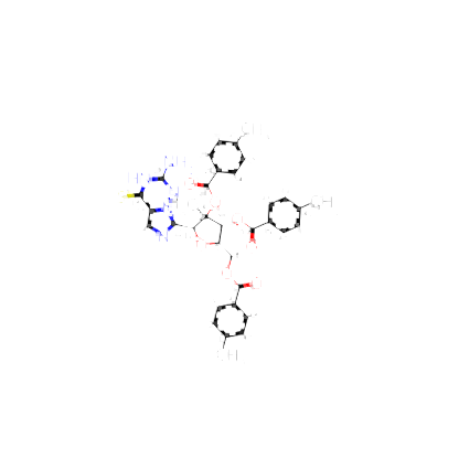 Cc1ccc(C(=O)OC[C@H]2O[C@@H](c3ncc4c(=S)[nH]c(N)nn34)[C@](C)(OC(=O)c3ccc(C)cc3)[C@@H]2OC(=O)c2ccc(C)cc2)cc1